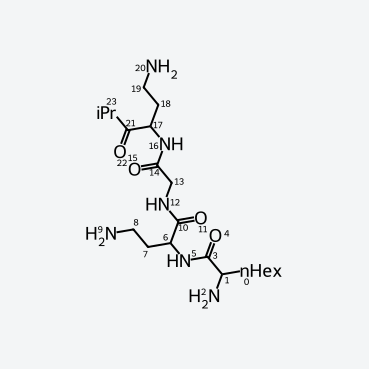 CCCCCCC(N)C(=O)NC(CCN)C(=O)NCC(=O)NC(CCN)C(=O)C(C)C